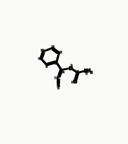 NC(=O)OC(=C=S)c1ccccc1